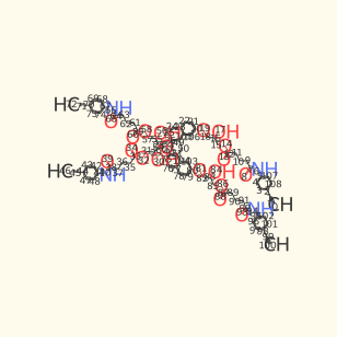 C#Cc1ccc(NC(=O)CCCC(=O)OCC(O)COc2ccc3ccc(OCC(O)COC(=O)CCCC(=O)Nc4ccc(C#C)cc4)c(Cc4c(OCC(O)COC(=O)CCCC(=O)Nc5ccc(C#C)cc5)ccc5ccc(OCC(O)COC(=O)CCCC(=O)Nc6ccc(C#C)cc6)cc45)c3c2)cc1